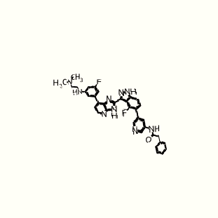 CN(C)CCNc1cc(F)cc(-c2ccnc3[nH]c(-c4n[nH]c5ccc(-c6cncc(NC(=O)Cc7ccccc7)c6)c(F)c45)nc23)c1